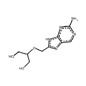 Nc1ncc2nc(COC(CO)CO)[nH]c2n1